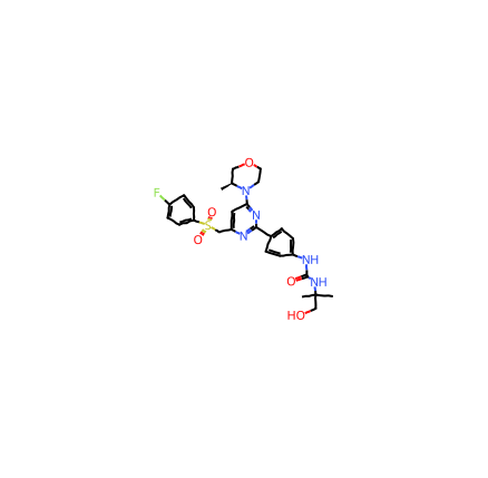 C[C@H]1COCCN1c1cc(CS(=O)(=O)c2ccc(F)cc2)nc(-c2ccc(NC(=O)NC(C)(C)CO)cc2)n1